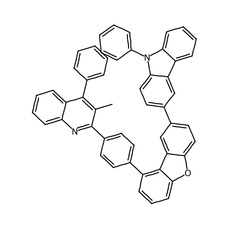 Cc1c(-c2ccc(-c3cccc4oc5ccc(-c6ccc7c(c6)c6ccccc6n7-c6ccccc6)cc5c34)cc2)nc2ccccc2c1-c1ccccc1